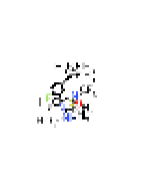 CC1(C)C(NC(=O)O)=N[C@](C)(c2cc(C#C[Si](C)(C)C)ccc2F)C[S@]1(=O)=NCC(F)(F)F